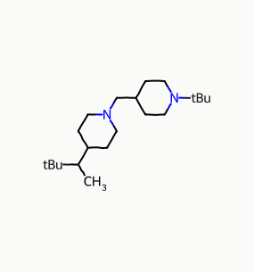 CC(C1CCN(CC2CCN(C(C)(C)C)CC2)CC1)C(C)(C)C